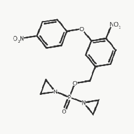 O=[N+]([O-])c1ccc(Oc2cc(COP(=O)(N3CC3)N3CC3)ccc2[N+](=O)[O-])cc1